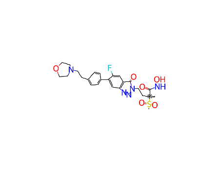 C[C@@](CCn1nnc2cc(-c3ccc(CCN4CCOCC4)cc3)c(F)cc2c1=O)(C(=O)NO)S(C)(=O)=O